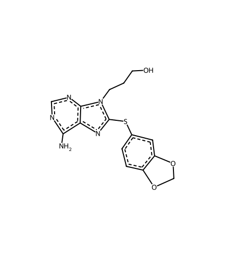 Nc1ncnc2c1nc(Sc1ccc3c(c1)OCO3)n2CCCO